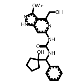 COc1n[nH]c2cc(NC(=O)NC(c3ccccc3)C3(O)CCCC3)nc(CO)c12